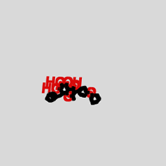 Cc1oc2c(CC3CC4CCC3C4)c(O)c(O)c(O)c2c(=O)c1-c1ccc(Oc2ccccc2)cc1